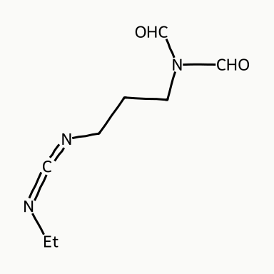 CCN=C=NCCCN(C=O)C=O